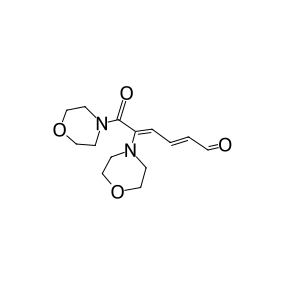 O=CC=CC=C(C(=O)N1CCOCC1)N1CCOCC1